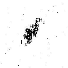 C=CCCC(=O)Nc1cccc(S(=O)(=O)Nc2nc3ccccc3nc2Nc2cc(OC)cc(OC)c2)c1